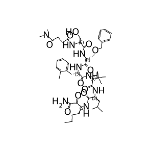 CCCC[C@H](NC(=O)[C@H](CC(C)C)NC(=O)[C@@H](NC(=O)[C@H](Cc1ccccc1C)NC(=O)[C@@H](COCc1ccccc1)NC(=O)[C@H](CO)NC(=O)CCC(=O)N(C)C)C(C)(C)C)C(=O)C(N)=O